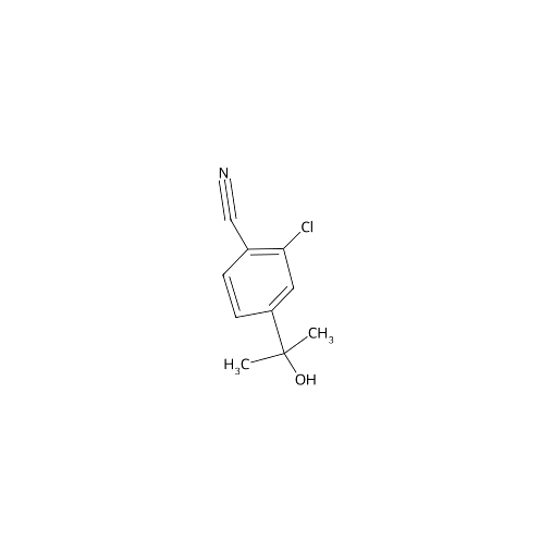 CC(C)(O)c1ccc(C#N)c(Cl)c1